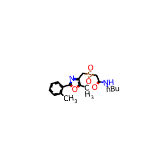 CCCCNC(=O)CS(=O)(=O)Cc1nc(-c2ccccc2C)oc1C